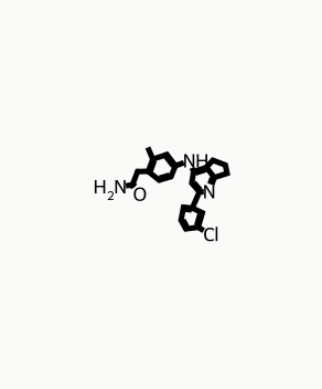 Cc1cc(Nc2cc(-c3cccc(Cl)c3)nc3c2CCC3)ccc1CC(N)=O